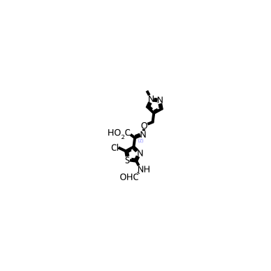 Cn1cc(CO/N=C(\C(=O)O)c2nc(NC=O)sc2Cl)cn1